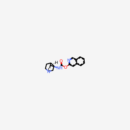 O=C(N[C@H]1CN2CCC1CC2)Oc1cc2ccccc2cn1